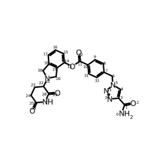 NC(=O)c1cn(Cc2ccc(C(=O)Oc3cccc4c3CN(C3CCC(=O)NC3=O)C4)cc2)nn1